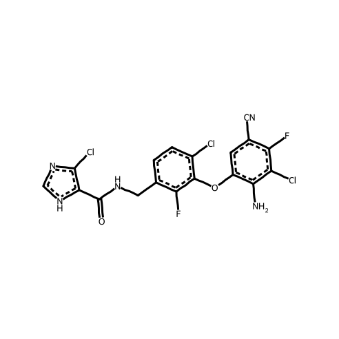 N#Cc1cc(Oc2c(Cl)ccc(CNC(=O)c3[nH]cnc3Cl)c2F)c(N)c(Cl)c1F